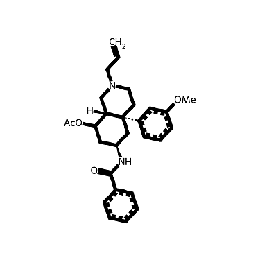 C=CCN1CC[C@@]2(c3cccc(OC)c3)C[C@@H](NC(=O)c3ccccc3)CC(OC(C)=O)[C@@H]2C1